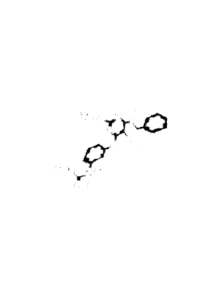 CSc1nc(NCc2ccccc2)c([N+](=O)[O-])c(Oc2cccc(NC(=N)N)c2)n1